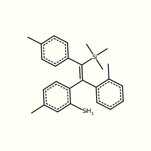 Cc1ccc(C(=C(c2ccccc2C)c2ccc(C)cc2[SiH3])[Si](C)(C)C)cc1